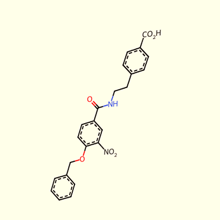 O=C(O)c1ccc(CCNC(=O)c2ccc(OCc3ccccc3)c([N+](=O)[O-])c2)cc1